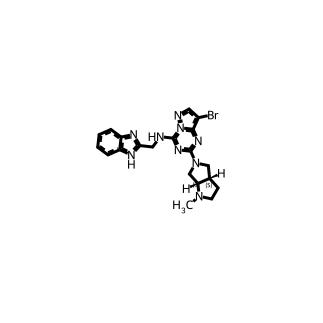 CN1CC[C@H]2CN(c3nc(NCc4nc5ccccc5[nH]4)n4ncc(Br)c4n3)C[C@H]21